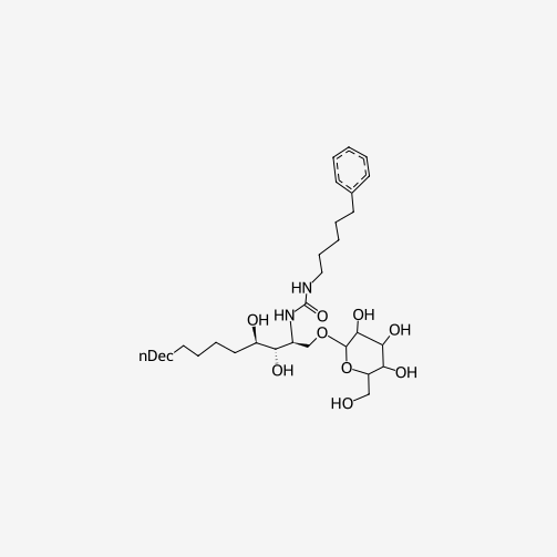 CCCCCCCCCCCCCC[C@@H](O)[C@@H](O)[C@H](COC1OC(CO)C(O)C(O)C1O)NC(=O)NCCCCCc1ccccc1